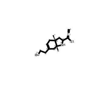 C=C=C(CC)C1C[C@@]2(C)CC=C(CCC(C)CC)C[C@@]2(C)N1